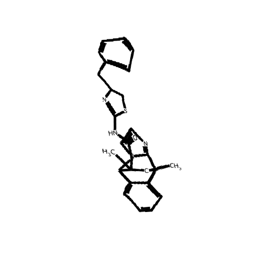 CC12CC(C)(C(=O)NC3=NC(Cc4ccccc4)CS3)C(c3ccccc31)n1ccnc12